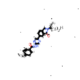 CC(C)C(C(=O)O)N1Cc2ccc(-c3cnc(NC(=O)c4ccc(C(C)(C)C)cc4)cn3)cc2C1=O